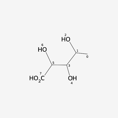 CC(O)C(O)C(O)C(=O)O